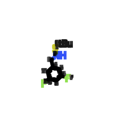 CC(C)(C)SNCc1cc(F)cc(F)c1